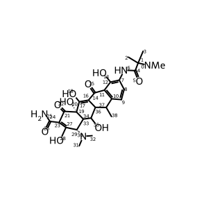 CNC(C)(C)C(=O)Nc1ccc2c(c1O)C(=O)C1=C(O)[C@]3(O)C(=O)C(C(N)=O)=C(O)[C@@H](N(C)C)C3C(O)C1C2C